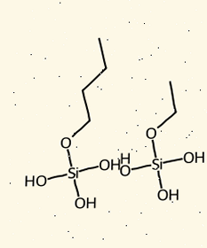 CCCCO[Si](O)(O)O.CCO[Si](O)(O)O